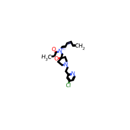 C=C/C=C\C=C\N1CC2(CCN(CCc3cc(Cl)ccn3)CC2)OC(C)C1=O